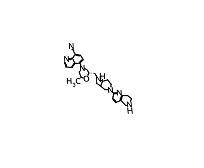 C[C@@H]1CN(c2ccc(C#N)c3ncccc23)C[C@H](CN2CC3CN(c4ccc5c(n4)CCNC5)CC[C@H]32)O1